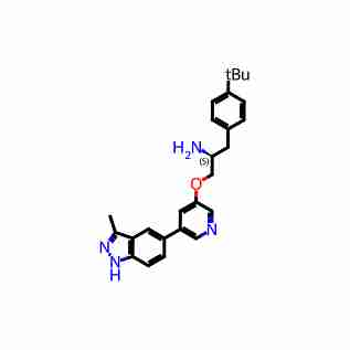 Cc1n[nH]c2ccc(-c3cncc(OC[C@@H](N)Cc4ccc(C(C)(C)C)cc4)c3)cc12